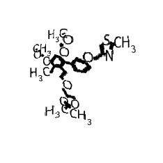 CCc1c(OCOC)cc(OCOC)c(-c2cccc(OCc3csc(C)n3)c2)c1CCOCC1COC(C)(C)O1